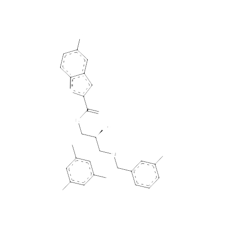 CCc1cccc(CNC[C@H](O)[C@H](Cc2cc(F)cc(F)c2)NC(=O)c2cc3cc(Cl)ccc3o2)c1